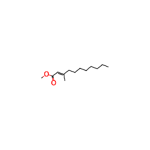 CCCCCCCC/C(C)=C/C(=O)OC